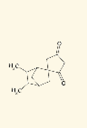 CC1C2CC(C1C)C1(CC(=O)CC1=O)C2